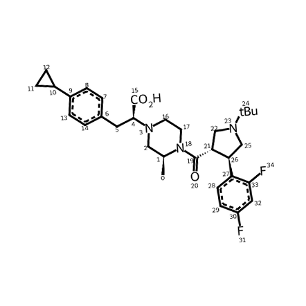 C[C@H]1CN([C@@H](Cc2ccc(C3CC3)cc2)C(=O)O)CCN1C(=O)[C@@H]1CN(C(C)(C)C)C[C@H]1c1ccc(F)cc1F